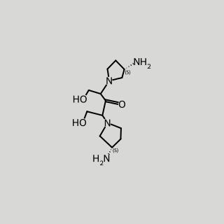 N[C@H]1CCN(C(CO)C(=O)C(CO)N2CC[C@H](N)C2)C1